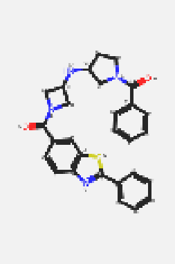 O=C(c1ccc2nc(-c3ccccc3)sc2c1)N1CC(N[C@H]2CCN(C(=O)c3ccccc3)C2)C1